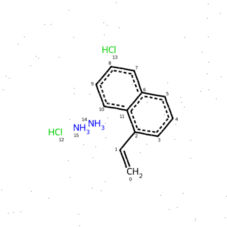 C=Cc1cccc2ccccc12.Cl.Cl.N.N